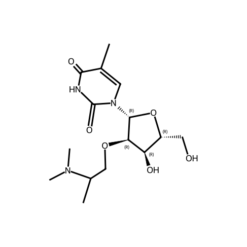 Cc1cn([C@@H]2O[C@H](CO)[C@@H](O)[C@H]2OCC(C)N(C)C)c(=O)[nH]c1=O